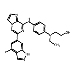 CCN(CCO)c1ccc(Nc2nc(-c3cc(F)c4cn[nH]c4c3)cn3ccnc23)cc1